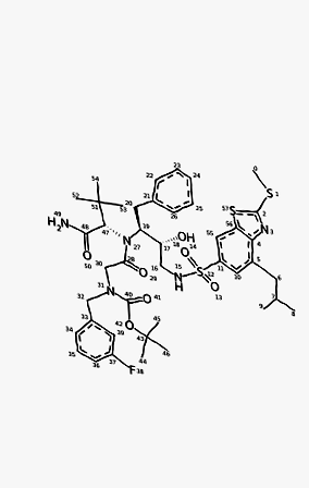 CSc1nc2c(CC(C)C)cc(S(=O)(=O)NC[C@@H](O)[C@H](Cc3ccccc3)N(C(=O)CN(Cc3cccc(F)c3)C(=O)OC(C)(C)C)[C@H](C(N)=O)C(C)(C)C)cc2s1